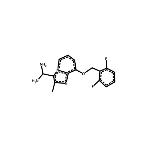 Cc1nc2c(OCc3c(F)cccc3F)cccn2c1C(N)N